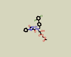 CC(=O)OCOC(=O)[C@H](O)CN(Cc1ccc(-c2cc(Cl)ccc2F)cc1)NC(=O)c1nn(-c2ccccc2)c(=O)[nH]1